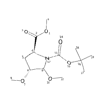 COC(=O)[C@@H]1C[C@@H](OC)C(OC)N1C(=O)OC(C)(C)C